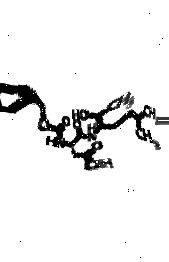 CC(C)CCC(NC(=O)[C@H](CC(=O)O)NC(=O)OCc1ccccc1)C(C)O